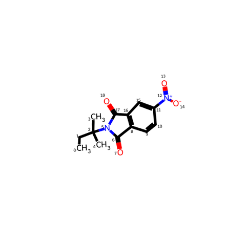 CCC(C)(C)N1C(=O)c2ccc([N+](=O)[O-])cc2C1=O